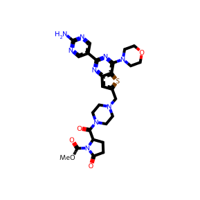 COC(=O)N1C(=O)CCC1C(=O)N1CCN(Cc2cc3nc(-c4cnc(N)nc4)nc(N4CCOCC4)c3s2)CC1